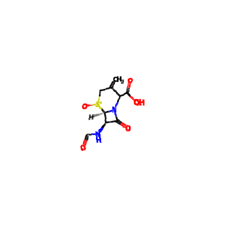 C=C1C[S+]([O-])[C@@H]2[C@H](NC=O)C(=O)N2C1C(=O)O